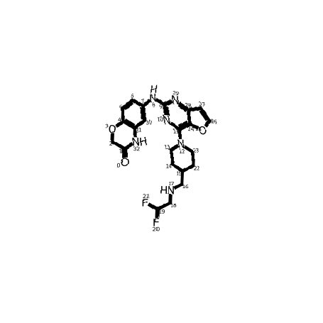 O=C1COc2ccc(Nc3nc(N4CCC(CNCC(F)F)CC4)c4occc4n3)cc2N1